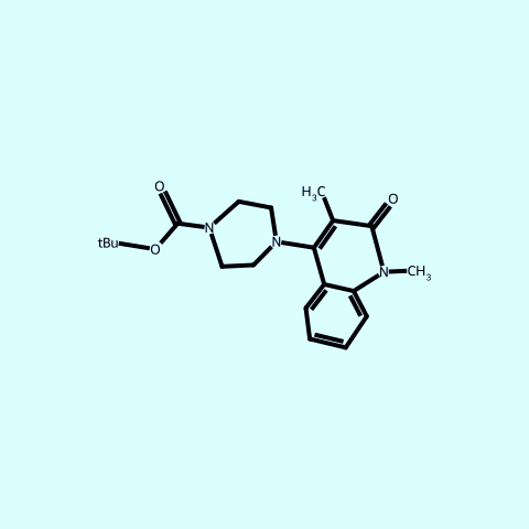 Cc1c(N2CCN(C(=O)OC(C)(C)C)CC2)c2ccccc2n(C)c1=O